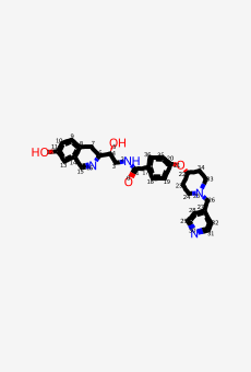 O=C(NC[C@@H](O)C1Cc2ccc(O)cc2C=N1)c1ccc(OC2CCN(Cc3ccncc3)CC2)cc1